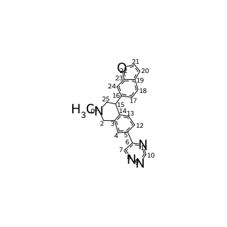 CN1Cc2cc(-c3cnncn3)ccc2C(c2ccc3ccoc3c2)C1